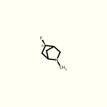 CN1CC2CC1C[C@H]2F